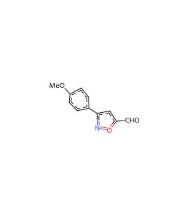 COc1ccc(-c2cc(C=O)on2)cc1